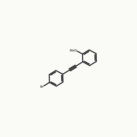 COc1ccccc1C#Cc1ccc(Br)cc1